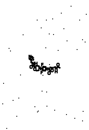 CC(=O)NC[C@H]1CN(c2cc(F)c(N3CCON(C(=O)NCc4cncs4)CC3)c(F)c2)C(=O)O1